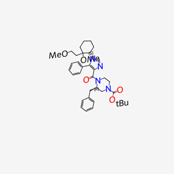 COCCC1(OC)CCCC[C@@H]1n1cnc(C(=O)N2CCN(C(=O)OC(C)(C)C)C[C@H]2Cc2ccccc2)c1-c1ccccc1